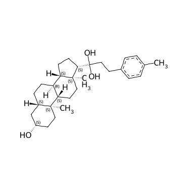 Cc1ccc(CCC(O)(O)[C@H]2CC[C@H]3[C@@H]4CC[C@H]5C[C@@H](O)CC[C@]5(C)[C@H]4CC[C@]23C)cc1